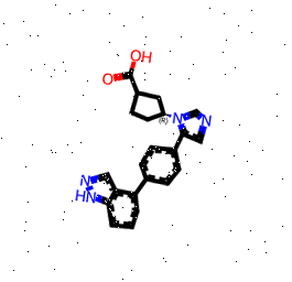 O=C(O)C1CC[C@@H](n2cncc2-c2ccc(-c3cccc4[nH]ncc34)cc2)C1